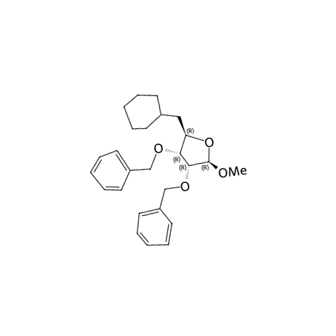 CO[C@@H]1O[C@H](CC2CCCCC2)[C@@H](OCc2ccccc2)[C@H]1OCc1ccccc1